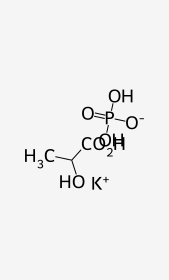 CC(O)C(=O)O.O=P([O-])(O)O.[K+]